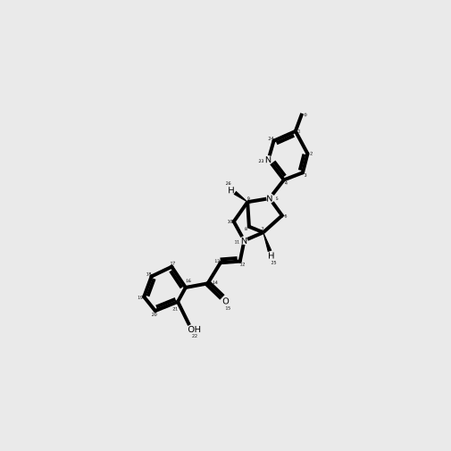 Cc1ccc(N2C[C@H]3C[C@@H]2CN3/C=C/C(=O)c2ccccc2O)nc1